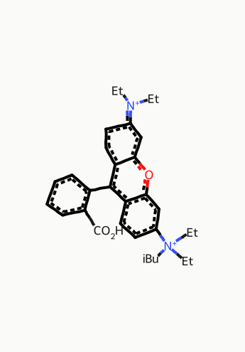 CCC(C)[N+](CC)(CC)c1ccc2c(-c3ccccc3C(=O)O)c3ccc(=[N+](CC)CC)cc-3oc2c1